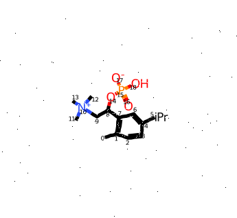 Cc1ccc(C(C)C)cc1C(C[N+](C)(C)C)OP(=O)([O-])O